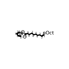 CCCCCCCC/C=C\CCCCCCCC(=O)On1cccc1